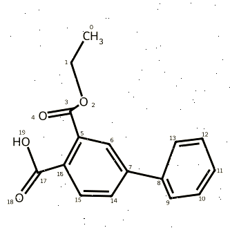 CCOC(=O)c1cc(-c2ccccc2)ccc1C(=O)O